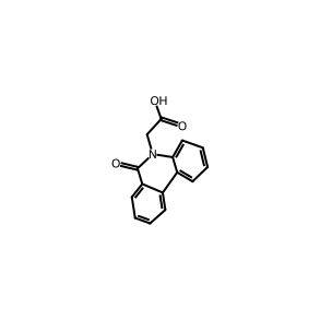 O=C(O)Cn1c(=O)c2ccccc2c2ccccc21